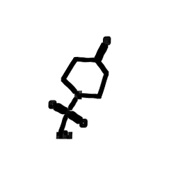 CCCCS(=O)(=O)N1CCC(=O)CC1